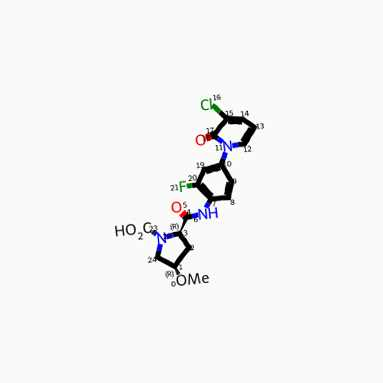 CO[C@@H]1C[C@H](C(=O)Nc2ccc(-n3cccc(Cl)c3=O)cc2F)N(C(=O)O)C1